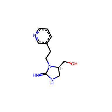 N=C1NC[C@H](CO)N1CCc1cccnc1